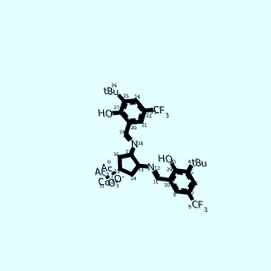 CC(=O)[O-].CC(=O)[O-].CC(C)(C)c1cc(C(F)(F)F)cc(C=NC2CCCC2N=Cc2cc(C(F)(F)F)cc(C(C)(C)C)c2O)c1O.[Co+2]